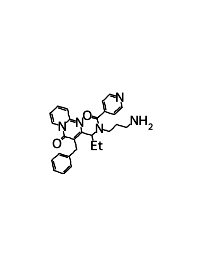 CCC(c1nc2ccccn2c(=O)c1Cc1ccccc1)N(CCCN)C(=O)c1ccncc1